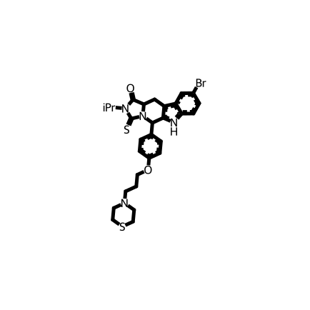 CC(C)N1C(=O)C2Cc3c([nH]c4ccc(Br)cc34)C(c3ccc(OCCCN4CCSCC4)cc3)N2C1=S